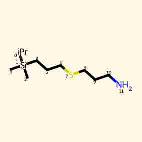 CC(C)[Si](C)(C)CCCSCCCN